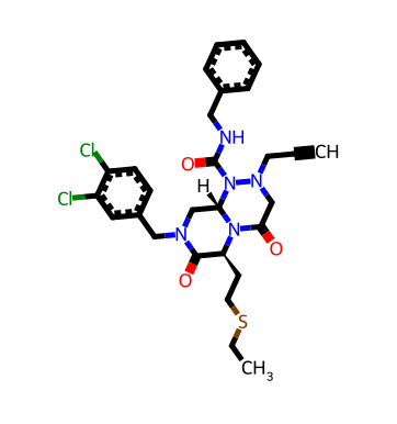 C#CCN1CC(=O)N2[C@@H](CCSCC)C(=O)N(Cc3ccc(Cl)c(Cl)c3)C[C@@H]2N1C(=O)NCc1ccccc1